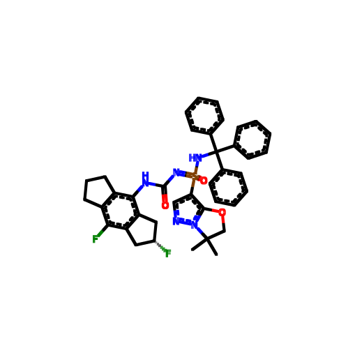 CC1(C)COc2c(S(=O)(=NC(=O)Nc3c4c(c(F)c5c3C[C@H](F)C5)CCC4)NC(c3ccccc3)(c3ccccc3)c3ccccc3)cnn21